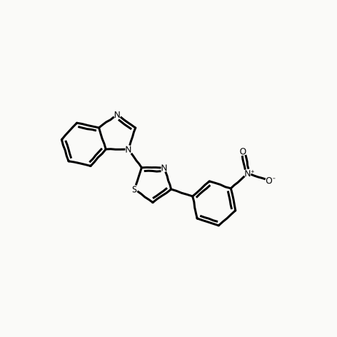 O=[N+]([O-])c1cccc(-c2csc(-n3cnc4ccccc43)n2)c1